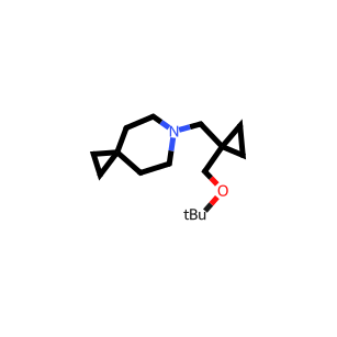 CC(C)(C)OCC1(CN2CCC3(CC2)CC3)CC1